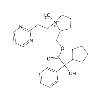 C[N@+]1(CCc2ncccn2)CCCC1COC(=O)C(O)(c1ccccc1)C1CCCC1